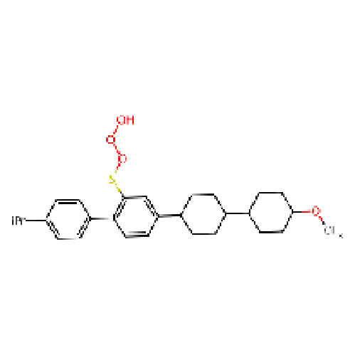 CC(C)c1ccc(-c2ccc(C3CCC(C4CCC(OC(F)(F)F)CC4)CC3)cc2SOOO)cc1